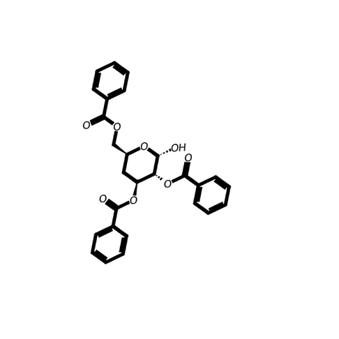 O=C(OC[C@@H]1C[C@H](OC(=O)c2ccccc2)[C@@H](OC(=O)c2ccccc2)[C@@H](O)O1)c1ccccc1